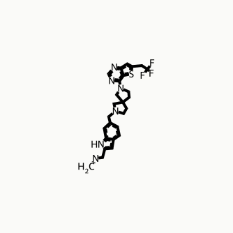 C=NCc1cc2ccc(CN3CCC4(CCN(c5ncnc6cc(CC(F)(F)F)sc56)C4)C3)cc2[nH]1